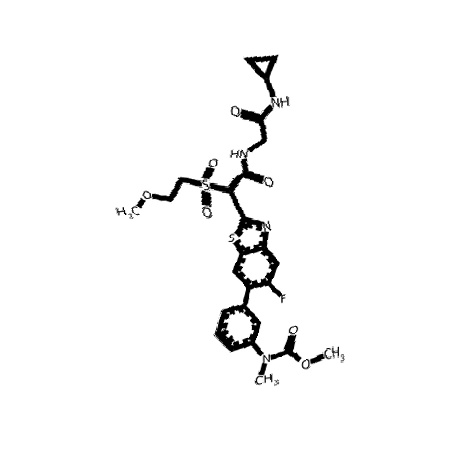 COCCS(=O)(=O)C(C(=O)NCC(=O)NC1CC1)c1nc2cc(F)c(-c3cccc(N(C)C(=O)OC)c3)cc2s1